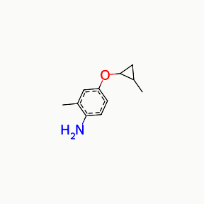 Cc1cc(OC2CC2C)ccc1N